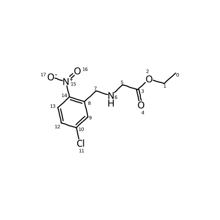 CCOC(=O)CNCc1cc(Cl)ccc1[N+](=O)[O-]